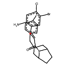 Nc1cc(Cl)c(Br)cc1C=CC(=O)N1C2CCC1CN(Cc1ccc(F)cc1)C2